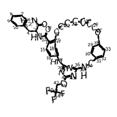 NC(=O)C(Cc1ccccc1)NC(=O)c1ccc2cc1OCCCCCCOc1ccc(cc1)CNc1nc(nc(OCC(F)(F)F)n1)N2